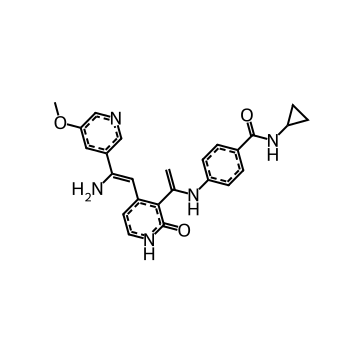 C=C(Nc1ccc(C(=O)NC2CC2)cc1)c1c(/C=C(\N)c2cncc(OC)c2)cc[nH]c1=O